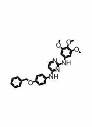 COc1cc(Nc2nccc(Nc3ccc(OCc4ccccc4)cc3)n2)cc(OC)c1OC